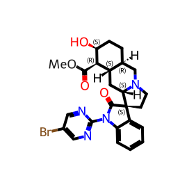 COC(=O)[C@@H]1[C@H]2C[C@@H]3N(CC[C@@]34C(=O)N(c3ncc(Br)cn3)c3ccccc34)C[C@@H]2CC[C@@H]1O